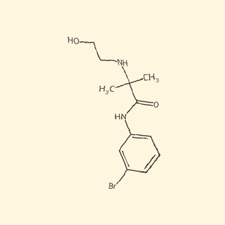 CC(C)(NCCO)C(=O)Nc1cccc(Br)c1